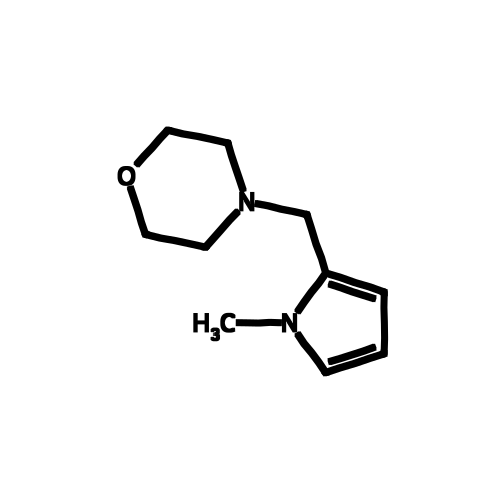 Cn1cccc1CN1CCOCC1